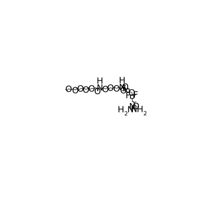 CCOCCOCCOCCOCCOCCC(=O)NCCOCCOCCOCCNS(=O)(=O)c1ccc(Oc2c(F)cc(/C=C(\C)C(=O)N=C(N)N)cc2F)cc1